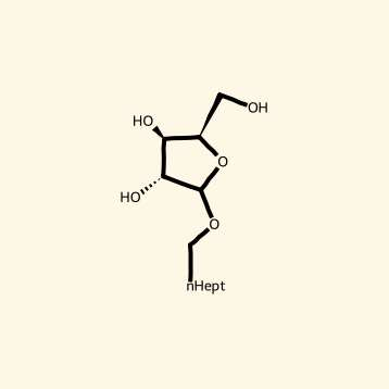 CCCCCCCCOC1O[C@H](CO)[C@H](O)[C@H]1O